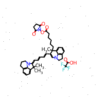 CC1(C)C(=CC=CC=CC2=CN3CCc4cccc(c43)C2(C)CCCCCC(=O)ON2C(=O)CCC2=O)N2CCCc3cccc1c32.O=C(O)C(F)(F)F